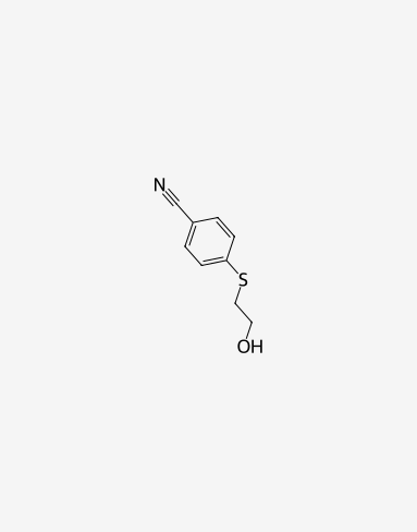 N#Cc1ccc(SCCO)cc1